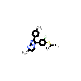 Cc1ccc(-c2nc3nc(C)ccn3c2-c2ccc(SC(C)C)c(Cl)c2)cc1